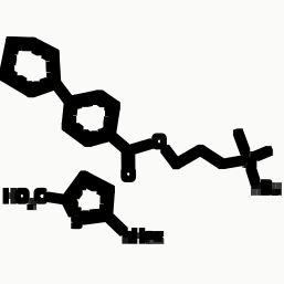 CCCCCCc1ccc(C(=O)O)s1.CCCC[Si](C)(C)CCCOC(=O)c1ccc(-c2ccccc2)cc1